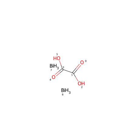 O=C(O)C(=O)O.[BiH3].[BiH3]